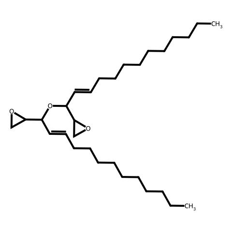 CCCCCCCCCCC=CC(OC(C=CCCCCCCCCCC)C1CO1)C1CO1